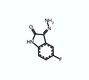 N/N=C1\C(=O)Nc2ccc(F)cc21